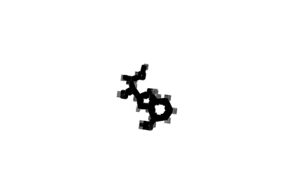 CON(C)C(=O)c1cc2c(O)cccc2s1